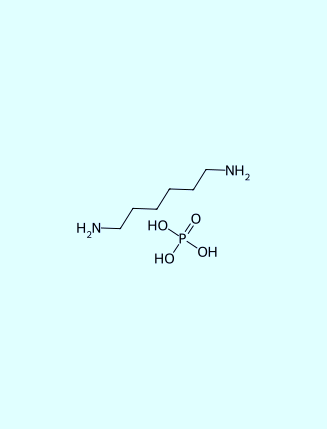 NCCCCCCN.O=P(O)(O)O